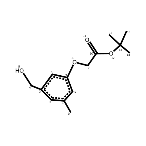 Cc1cc(CO)cc(OCC(=O)OC(C)(C)C)c1